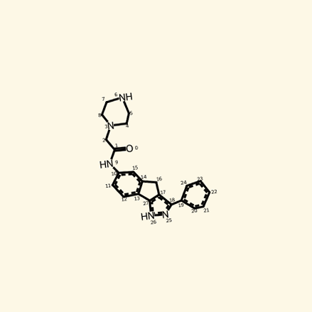 O=C(CN1CCNCC1)Nc1ccc2c(c1)Cc1c(-c3ccccc3)n[nH]c1-2